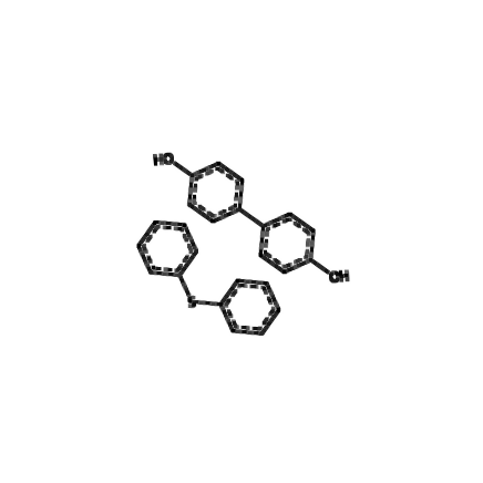 Oc1ccc(-c2ccc(O)cc2)cc1.c1ccc(Sc2ccccc2)cc1